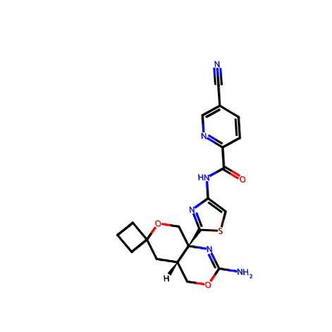 N#Cc1ccc(C(=O)Nc2csc([C@]34COC5(CCC5)C[C@H]3COC(N)=N4)n2)nc1